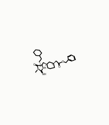 CN1C(=N)N[C@](CCC2CCCCC2)(C[C@@H]2CCC[C@H](CC(=O)OCc3ccccc3)C2)C1=O